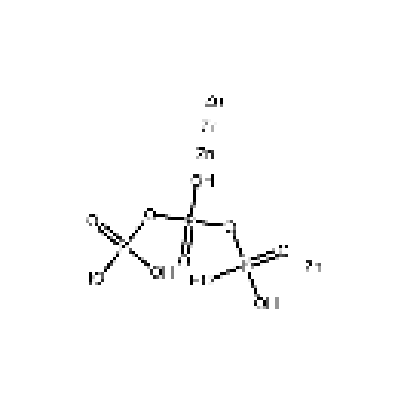 O=P(O)(O)OP(=O)(O)OP(=O)(O)O.[Zn].[Zn].[Zn].[Zn]